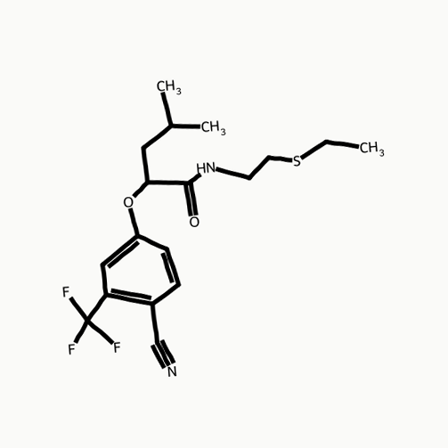 CCSCCNC(=O)C(CC(C)C)Oc1ccc(C#N)c(C(F)(F)F)c1